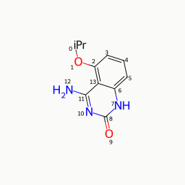 CC(C)Oc1cccc2[nH]c(=O)nc(N)c12